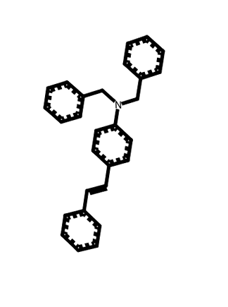 C(=Cc1ccc(N(Cc2ccccc2)Cc2ccccc2)cc1)c1ccccc1